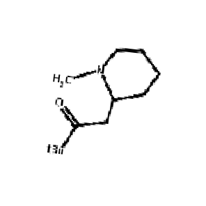 CN1CCCCC1CC(=O)C(C)(C)C